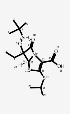 CCC1(O[SiH2]C(C)(C)C)C(=O)N2C(C(=O)O)=C(SC(C)C)S[C@H]21